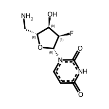 NC[C@H]1O[C@@H](n2ccc(=O)[nH]c2=O)[C@H](F)[C@@H]1O